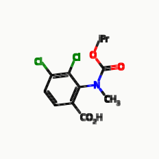 CC(C)OC(=O)N(C)c1c(C(=O)O)ccc(Cl)c1Cl